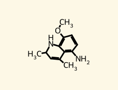 COc1ccc(N)c2c1NC(C)C=C2C